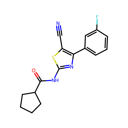 N#Cc1sc(NC(=O)C2CCCC2)nc1-c1cccc(F)c1